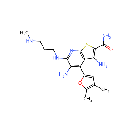 CNCCCNc1nc2sc(C(N)=O)c(N)c2c(-c2cc(C)c(C)o2)c1N